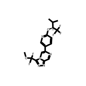 COC(F)(F)c1nnc2cnc(-c3ccc(O[C@@H](C(C)C)C(F)(F)F)nc3)cn12